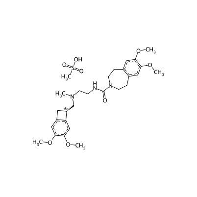 COc1cc2c(cc1OC)CCN(C(=O)NCCN(C)C[C@@H]1Cc3cc(OC)c(OC)cc31)CC2.CS(=O)(=O)O